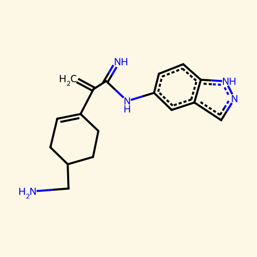 C=C(C(=N)Nc1ccc2[nH]ncc2c1)C1=CCC(CN)CC1